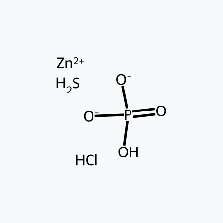 Cl.O=P([O-])([O-])O.S.[Zn+2]